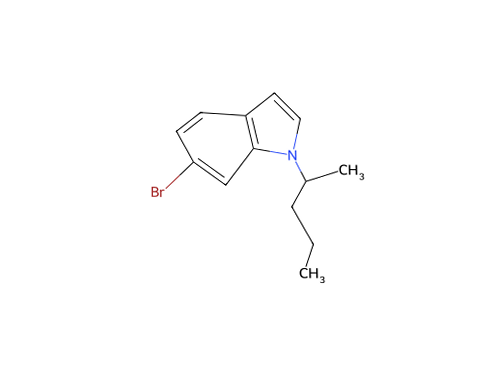 CCCC(C)n1ccc2ccc(Br)cc21